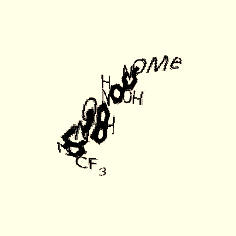 COc1ccc([C@]2(O)CC[C@@H](N[C@@H]3C[C@H]4CCC[C@@]4(C(=O)N4CCc5ncc(C(F)(F)F)cc5C4)C3)CC2)cn1